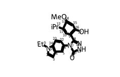 CCn1ccc2cc(-n3c(-c4cc(C(C)C)c(OC)cc4O)n[nH]c3=O)ccc21